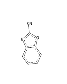 N#Cc1bc2ccccc2o1